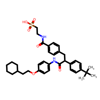 CC(C)(C)c1ccc(C(Cc2ccc(C(=O)NCCS(=O)(=O)O)cc2)C(=O)Nc2ccc(OCCC3CCCCC3)cc2)cc1